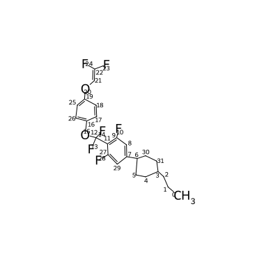 CCCC1CCC(c2cc(F)c(C(F)(F)Oc3ccc(OC=C(F)F)cc3)c(F)c2)CC1